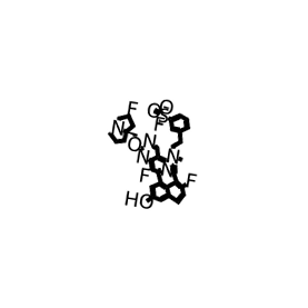 C#Cc1c(F)ccc2cc(O)cc(-c3nc(N(C)CCc4cccc(S(=O)(=O)F)c4)c4cnc(OC[C@@]56CCCN5C[C@H](F)C6)nc4c3F)c12